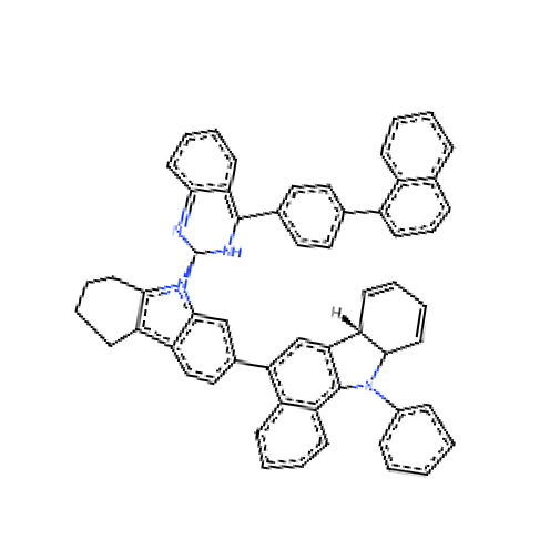 C1=CC2[C@@H](C=C1)c1cc(-c3ccc4c5c(n([C@H]6N=c7ccccc7=C(c7ccc(-c8cccc9ccccc89)cc7)N6)c4c3)CCCC5)c3ccccc3c1N2c1ccccc1